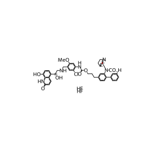 COc1cc(NC(=O)OCCCc2ccc(-c3ccccc3)c(N(C(=O)O)C3CN4CCC3CC4)c2)c(Cl)cc1CNC[C@H](O)c1ccc(O)c2[nH]c(=O)ccc12.F.F